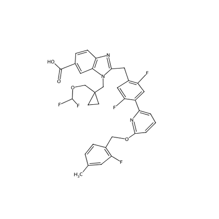 Cc1ccc(COc2cccc(-c3cc(F)c(Cc4nc5ccc(C(=O)O)cc5n4CC4(COC(F)F)CC4)cc3F)n2)c(F)c1